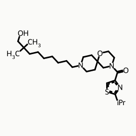 CC(C)c1nc(C(=O)N2CCOC3(CCN(CCCCCCCC(C)(C)CO)CC3)C2)cs1